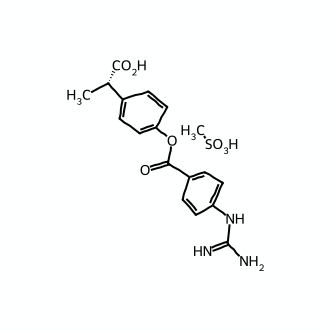 CS(=O)(=O)O.C[C@H](C(=O)O)c1ccc(OC(=O)c2ccc(NC(=N)N)cc2)cc1